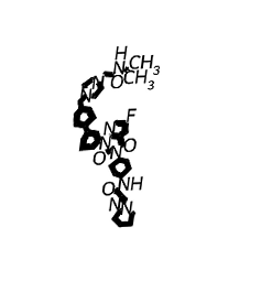 CC(C)NC(=O)CN1CCN(Cc2ccc(-c3cccc(-n4c(=O)n([C@H]5CC[C@@H](NC(=O)c6cn7c(n6)CCCC7)CC5)c(=O)c5cc(F)cnc54)c3)cc2)CC1